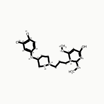 COC1=CC(O)=NC(OC)N1CCCN1CCC(Oc2ccc(Cl)c(Cl)c2)CC1